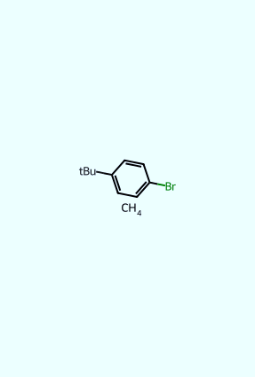 C.CC(C)(C)c1ccc(Br)cc1